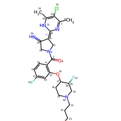 CC1=N/C(=C2\CN(C(=O)c3ccc(F)cc3OC3CCN(CCCO)C[C@@H]3F)CC2=N)NC(C)=C1Cl